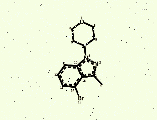 Cc1nn(C2CCOCC2)c2cccc(Br)c12